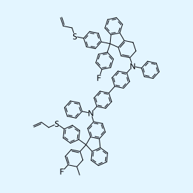 C=CCSc1ccc(C2(c3ccc(F)cc3)C3=C(CCC(N(c4ccccc4)c4ccc(-c5ccc(N(c6ccccc6)c6ccc7c(c6)C(C6=CC=C(F)C(C)C6)(c6ccc(SCC=C)cc6)c6ccccc6-7)cc5)cc4)=C3)c3ccccc32)cc1